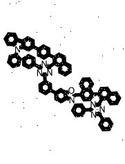 c1ccc(-c2nc(-c3cccc(-c4ccc5nc(-c6ccc(-c7ccc8ccccc8c7-c7nc(-c8ccccc8)nc(-c8ccccc8)n7)c7ccccc67)oc5c4)c3)nc(-c3c(-c4ccc(-c5ccc6c7ccccc7n(-c7ccccc7)c6c5)cc4)ccc4ccccc34)n2)cc1